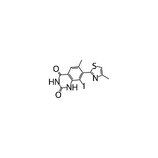 Cc1csc(-c2c(C)cc3c(=O)[nH]c(=O)[nH]c3c2I)n1